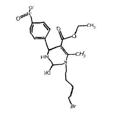 CCOC(=O)C1=C(C)N(CCCCBr)C(O)NC1c1ccc([N+](=O)[O-])cc1